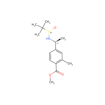 COC(=O)c1ccc([C@H](C)N[S@@+]([O-])C(C)(C)C)cc1C